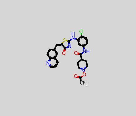 O=C1N=C(Nc2cc(NC(=O)C3CCN(OC(=O)C(F)(F)F)CC3)ccc2Cl)SC1=Cc1ccc2ncccc2c1